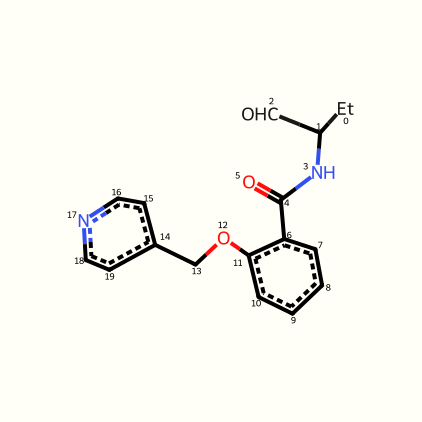 CCC(C=O)NC(=O)c1ccccc1OCc1ccncc1